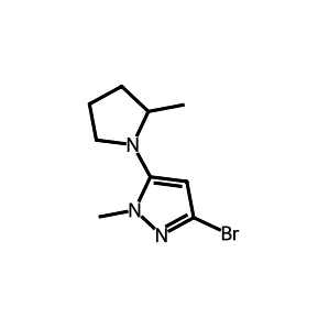 CC1CCCN1c1cc(Br)nn1C